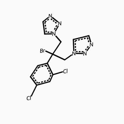 Clc1ccc(C(Br)(Cn2ccnn2)Cn2ccnn2)c(Cl)c1